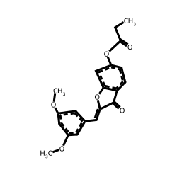 CCC(=O)Oc1ccc2c(c1)OC(=Cc1cc(OC)cc(OC)c1)C2=O